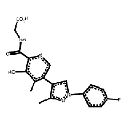 Cc1nn(-c2ccc(F)cc2)cc1-c1cnc(C(=O)NCC(=O)O)c(O)c1C